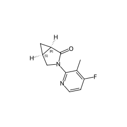 Cc1c(F)ccnc1N1C[C@H]2C[C@H]2C1=O